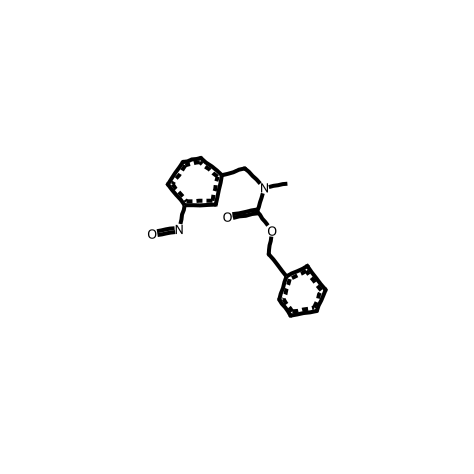 CN(Cc1cccc(N=O)c1)C(=O)OCc1ccccc1